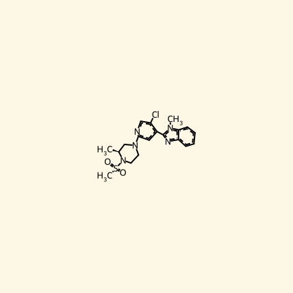 C[C@H]1CN(c2cc(-c3nc4ccccc4n3C)c(Cl)cn2)CCN1S(C)(=O)=O